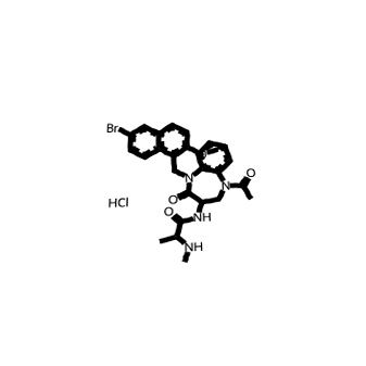 CNC(C)C(=O)NC1CN(C(C)=O)c2ccccc2N(Cc2c(OC)ccc3cc(Br)ccc23)C1=O.Cl